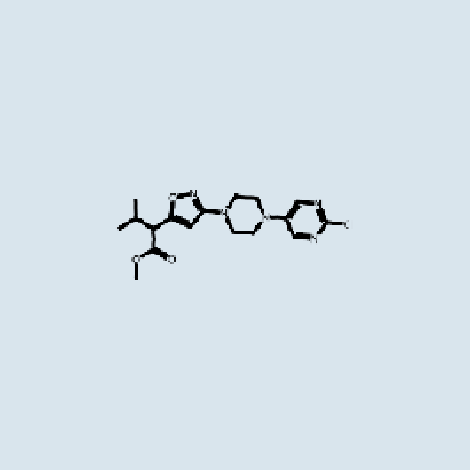 COC(=O)C(c1cc(N2CCN(c3cnc(Cl)nc3)CC2)no1)C(C)C